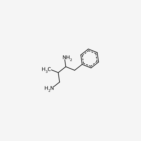 CC(CN)C(N)Cc1ccccc1